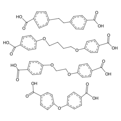 O=C(O)c1ccc(CCc2ccc(C(=O)O)cc2)cc1.O=C(O)c1ccc(OCCCCOc2ccc(C(=O)O)cc2)cc1.O=C(O)c1ccc(OCCOc2ccc(C(=O)O)cc2)cc1.O=C(O)c1ccc(Oc2ccc(C(=O)O)cc2)cc1